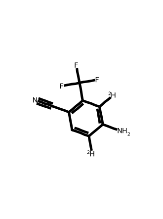 [2H]c1cc(C#N)c(C(F)(F)F)c([2H])c1N